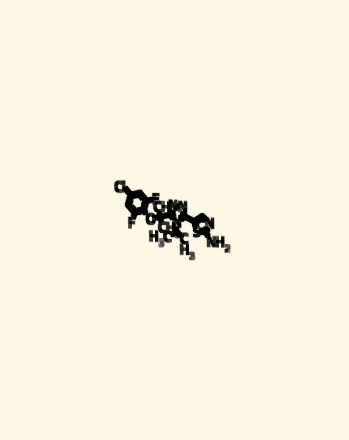 CC(C)n1c(-c2cnc(N)s2)nnc1C(C)(C)Oc1c(F)cc(Cl)cc1F